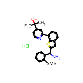 CSc1ccccc1C(N)c1cc2cccc(-c3cc(C(C)(O)C(F)(F)F)ccn3)c2s1.Cl